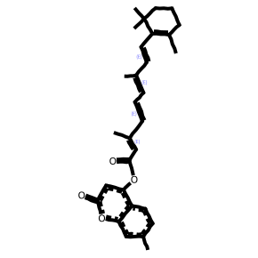 CC1=C(/C=C/C(C)=C/C=C/C(C)=C/C(=O)Oc2cc(=O)oc3cc(C)ccc23)C(C)(C)CCC1